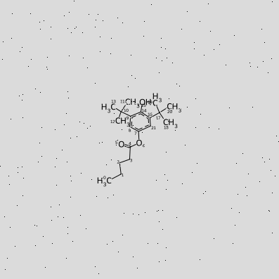 CCCCC(=O)Oc1cc(C(C)(C)C)c(O)c(C(C)(C)C)c1